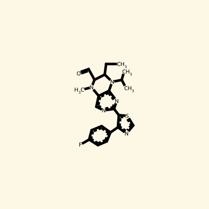 CCC1C(C=O)N(C)c2cnc(-c3scnc3-c3ccc(F)cc3)nc2N1C(C)C